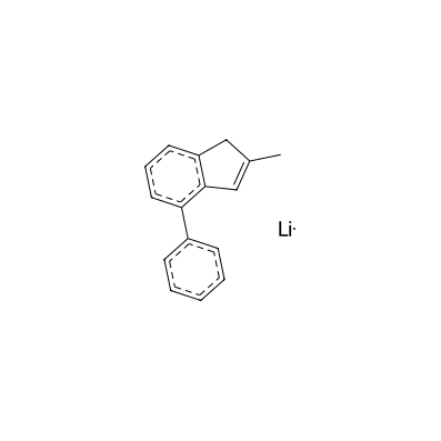 CC1=Cc2c(cccc2-c2ccccc2)C1.[Li]